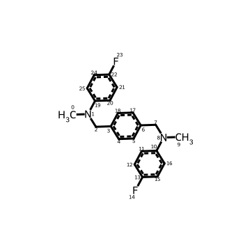 CN(Cc1ccc(CN(C)c2ccc(F)cc2)cc1)c1ccc(F)cc1